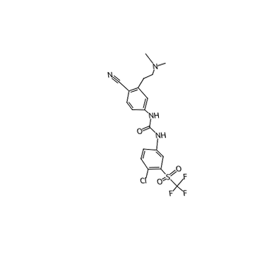 CN(C)CCc1cc(NC(=O)Nc2ccc(Cl)c(S(=O)(=O)C(F)(F)F)c2)ccc1C#N